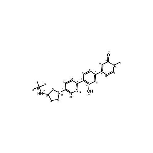 Cn1cnc(-c2ccc(-c3ccc(N4CCC(NC(C)(C)C)C4)nn3)c(O)c2)cc1=O